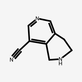 N#Cc1cncc2c1CNCC2